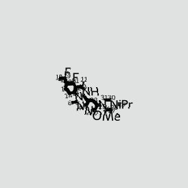 COc1nc2nc(C)nc(N[C@H](C)c3cccc(C(C)F)c3F)c2cc1N1CCN(C(C)C)CC1